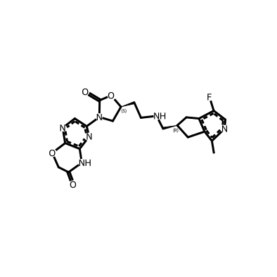 Cc1ncc(F)c2c1C[C@@H](CNCC[C@H]1CN(c3cnc4c(n3)NC(=O)CO4)C(=O)O1)C2